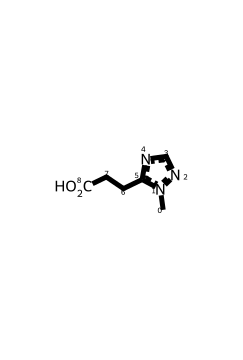 Cn1ncnc1CCC(=O)O